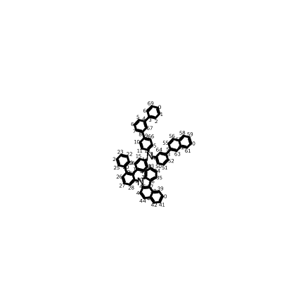 c1ccc(-c2cccc(-c3ccc(N(c4ccc(-c5c(-c6ccccc6)cccc5-n5c6ccccc6c6c7ccccc7ccc65)cc4)c4cccc(-c5ccc6ccccc6c5)c4)cc3)c2)cc1